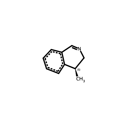 C[C@@H]1CN=Cc2ccccc21